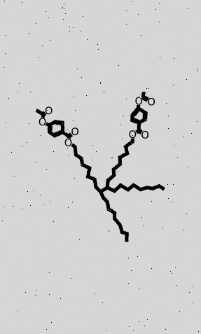 CCCCCCCCCC(CCCCCCCCOC(=O)c1ccc(OC(C)=O)cc1)C(CCCCCCCCC)CCCCCCCCOC(=O)c1ccc(OC(C)=O)cc1